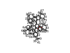 Cc1cc2c3c(c1)N1c4cc5c(cc4C4(C)CCC(C)(C)c6ccc(c1c64)B3c1oc3c(c1N2c1ccc(C(C)(C)C)cc1-c1ccc2c(c1)C(C)(C)CCC2(C)C)C(C)(C)CCC3(C)C)C(C)(C)CCC5(C)C